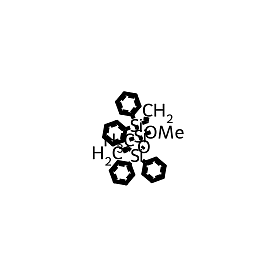 C=C[Si](O[Si](C)(OC)[Si](C=C)(c1ccccc1)c1ccccc1)(c1ccccc1)c1ccccc1